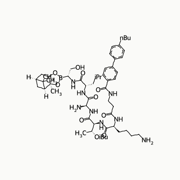 CCCCc1ccc(-c2ccc(C(=O)NCCC(=O)N[C@@H](CCCCN)C(=O)N[C@H](C(=O)N[C@@H](N)C(=O)N[C@@H](CC(C)C)C(=O)N[C@@H](CO)B3OC4C[C@@H]5C[C@@H](C5(C)C)[C@]4(C)O3)[C@@H](C)OCC(C)C)cc2)cc1